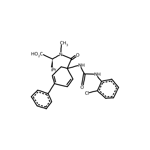 CC(C)[C@@H](C(=O)O)N(C)C(=O)C1(NC(=O)Nc2ccccc2Cl)C=CC(c2ccccc2)=CC1